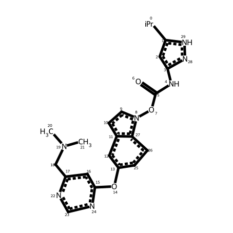 CC(C)c1cc(NC(=O)On2ccc3cc(Oc4cc(CN(C)C)ncn4)ccc32)n[nH]1